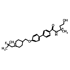 C[C@H](CCO)NC(=O)c1ccc(-c2ccc(OCC3CCN(CC(C)(C)F)CC3)cc2)cc1